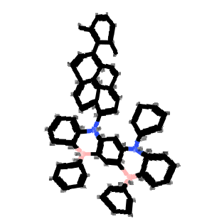 Cc1cccc(C)c1-c1ccc2ccc3c(N4c5ccccc5B(c5ccccc5)c5cc6c(cc54)N(c4ccccc4)c4ccccc4B6c4ccccc4)ccc4ccc1c2c43